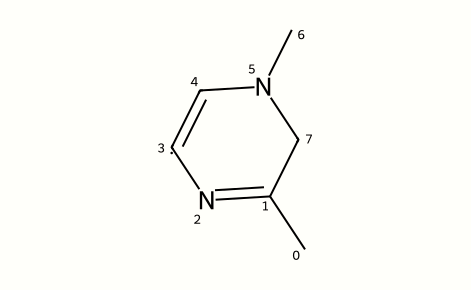 CC1=N[C]=CN(C)C1